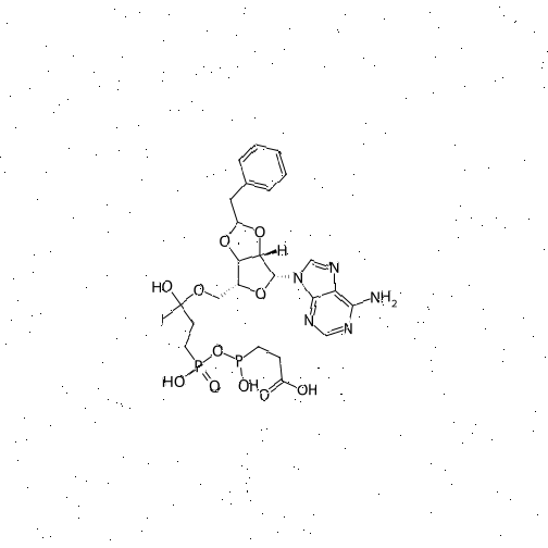 Nc1ncnc2c1ncn2[C@@H]1O[C@H](COC(O)(I)CCP(=O)(O)OP(O)CCC(=O)O)C2OC(Cc3ccccc3)O[C@@H]21